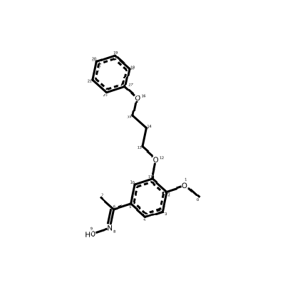 COc1ccc(C(C)=NO)cc1OCCCOc1ccccc1